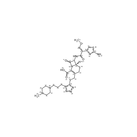 CON=C(C(=O)NC1C(=O)N2C(C(=O)O)=C(CSc3nnnn3CCCN3CCN(C)CC3)CS[C@@H]12)c1csc(N)n1